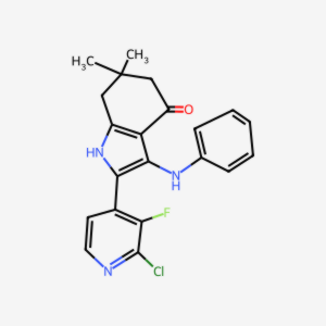 CC1(C)CC(=O)c2c([nH]c(-c3ccnc(Cl)c3F)c2Nc2ccccc2)C1